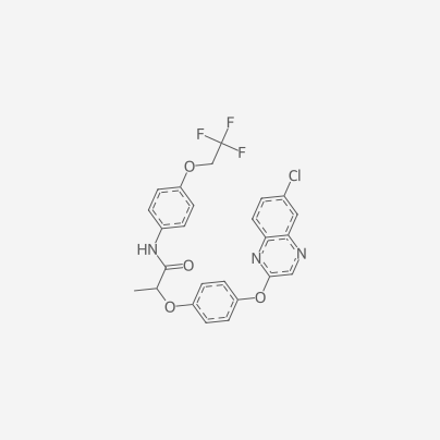 CC(Oc1ccc(Oc2cnc3cc(Cl)ccc3n2)cc1)C(=O)Nc1ccc(OCC(F)(F)F)cc1